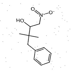 CC(C)(Cc1ccccc1)C(O)C[N+](=O)[O-]